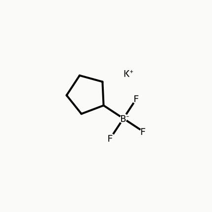 F[B-](F)(F)C1CCCC1.[K+]